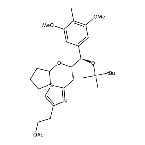 COc1cc([C@@H](O[Si](C)(C)C(C)(C)C)[C@H](Cc2nc(CCOC(C)=O)cs2)OC2CCCC2)cc(OC)c1C